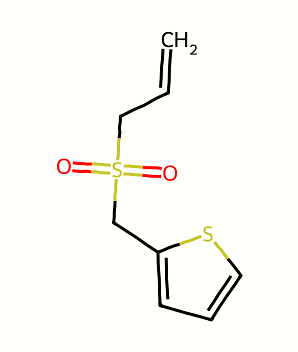 C=CCS(=O)(=O)Cc1cccs1